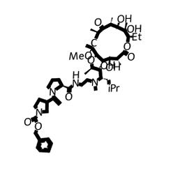 C=C(C1CCN(C(=O)OCc2ccccc2)C1)N1CCC[C@H]1C(=O)NCCN(C)[C@@H](CC(C)C)[C@@H](O)[C@@H](C)O[C@@H]1[C@@H](C)[C@H](O)[C@@H](C)C(=O)O[C@H](CC)[C@@](C)(O)[C@H](O)[C@@H](C)C(=O)[C@H](C)C[C@@]1(C)OC